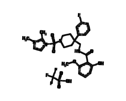 COc1cccc(O)c1C(=O)NCC1(c2cccc(F)c2)CCN(S(=O)(=O)n2cc[n+](C)c2C)CC1.O=S(=O)(O)C(F)(F)F